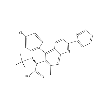 Cc1cc2nc(-c3ccccn3)ccc2c(-c2ccc(Cl)cc2)c1[C@H](OC(C)(C)C)C(=O)O